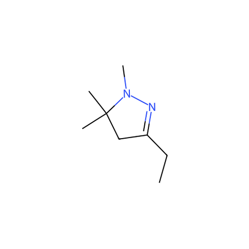 CCC1=NN(C)C(C)(C)C1